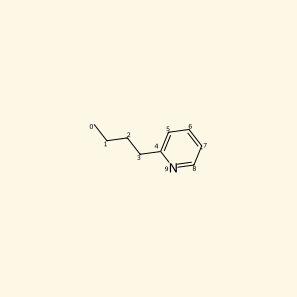 CCCCc1cc[c]cn1